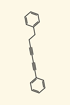 C(C#Cc1ccccc1)#CCCc1ccccc1